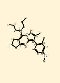 CCCN(CCC)c1c2c(nc3c(-c4ccc(OC)cc4C)c(C)nn13)CCC2